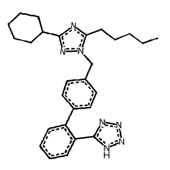 CCCCCc1nc(C2CCCCC2)nn1Cc1ccc(-c2ccccc2-c2nnn[nH]2)cc1